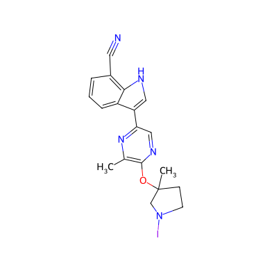 Cc1nc(-c2c[nH]c3c(C#N)cccc23)cnc1OC1(C)CCN(I)C1